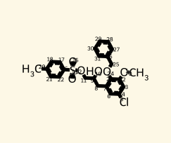 COc1cc(Cl)cc(CC(O)COS(=O)(=O)c2ccc(C)cc2)c1OCc1ccccc1